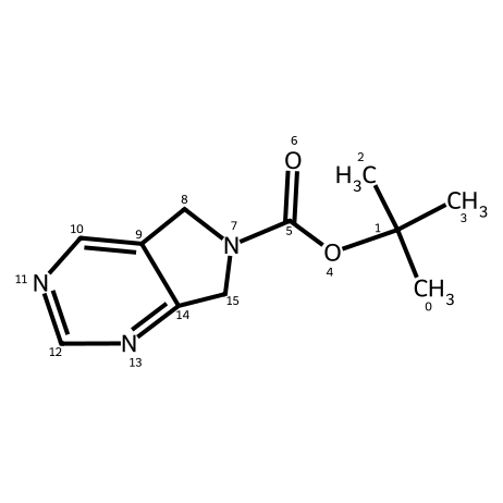 CC(C)(C)OC(=O)N1Cc2cncnc2C1